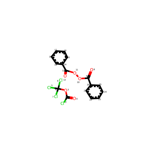 O=C(Cl)OC(Cl)(Cl)Cl.O=C(OOC(=O)c1ccccc1)c1ccccc1